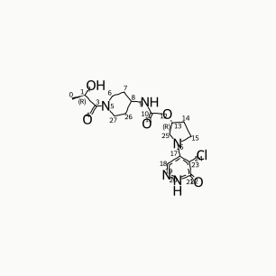 C[C@@H](O)C(=O)N1CCC(NC(=O)O[C@@H]2CCN(c3cn[nH]c(=O)c3Cl)C2)CC1